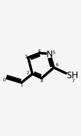 C=Cc1ccnc(S)c1